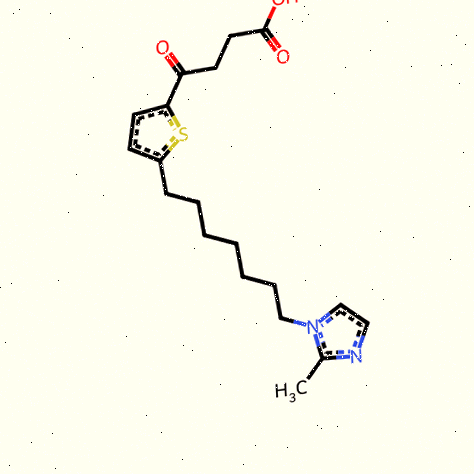 Cc1nccn1CCCCCCCc1ccc(C(=O)CCC(=O)O)s1